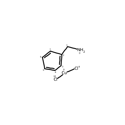 NCc1ccccc1.[Cl][Cu][Cl]